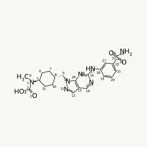 CN(C(=O)O)[C@H]1CC[C@H](Cn2ncc3cnc(Nc4cccc(S(N)(=O)=O)c4)nc32)CC1